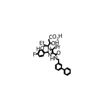 CC[C@@H](O)C([C@H](O)CC(=O)O)n1c(-c2ccc(F)cc2)nc(C(=O)NCc2cccc(-c3ccccc3)c2)c1C(C)C